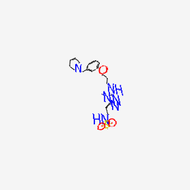 Cn1c(CCNS(C)(=O)=O)nnc1NCCCOc1cccc(CN2CCCCC2)c1